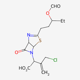 C=C(CCl)C(C(=O)O)N1C(=O)C2N=C(CCC(CC)OC=O)SC21